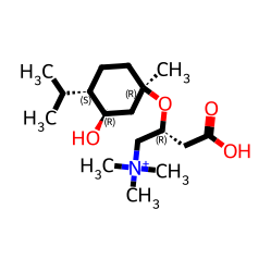 CC(C)[C@@H]1CC[C@@](C)(O[C@H](CC(=O)O)C[N+](C)(C)C)C[C@H]1O